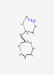 C1CCCC(CC2CCNCC2)CC1